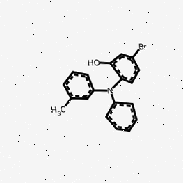 Cc1cccc(N(c2ccccc2)c2ccc(Br)cc2O)c1